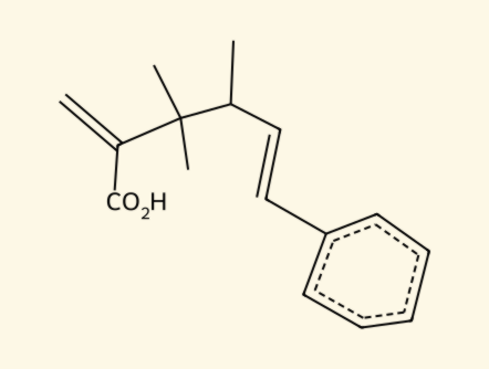 C=C(C(=O)O)C(C)(C)C(C)C=Cc1ccccc1